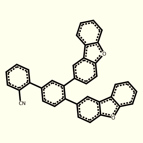 N#Cc1ccccc1-c1ccc(-c2ccc3oc4ccccc4c3c2)c(-c2ccc3oc4ccccc4c3c2)c1